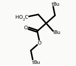 CCC(C)C(CC(=O)O)(CC(C)(C)C)C(=O)OCC(C)(C)C